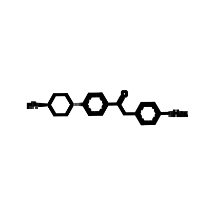 CCCCCCc1ccc(CC(=O)c2ccc([C@H]3CC[C@H](CCC)CC3)cc2)cc1